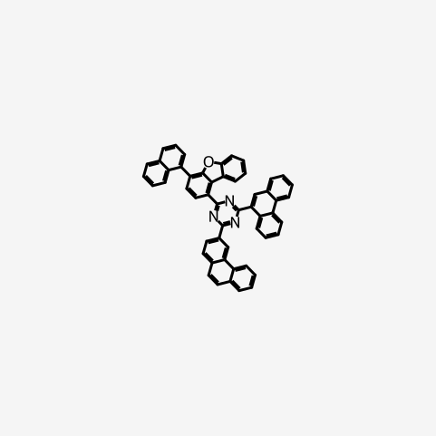 c1ccc2c(-c3ccc(-c4nc(-c5ccc6ccc7ccccc7c6c5)nc(-c5cc6ccccc6c6ccccc56)n4)c4c3oc3ccccc34)cccc2c1